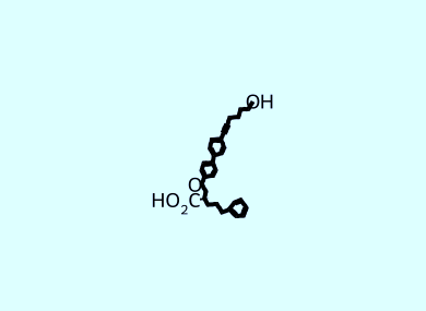 O=C(C[C@@H](CCCc1ccccc1)C(=O)O)c1ccc(-c2ccc(C#CCCCCO)cc2)cc1